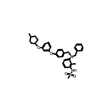 Cc1c(NS(C)(=O)=O)cccc1N(Cc1ccccc1)Cc1ccc(Oc2cccc(OC3CCC(C)CC3)c2)cc1